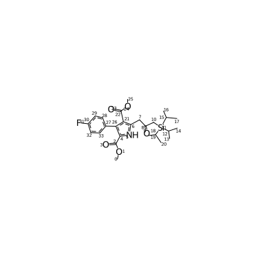 COC(=O)c1[nH]c(CC(=O)C[Si](C(C)C)(C(C)C)C(C)C)c(C(=O)OC)c1-c1ccc(F)cc1